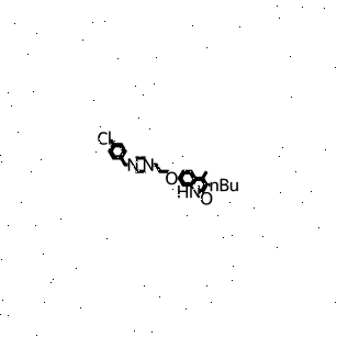 CCCCc1c(C)c2ccc(OCCCN3CCN(Cc4ccc(Cl)cc4)CC3)cc2[nH]c1=O